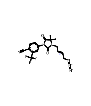 CC1(C)C(=O)N(c2ccc(C#N)c(C(F)(F)F)c2)C(=O)N1C/C=C/CN=[N+]=[N-]